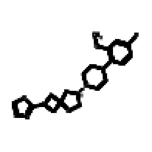 COc1cc(F)ccc1C1CCN([C@@H]2COC3(C2)CN(c2nnco2)C3)CC1